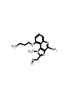 Cn1c(CN=O)nc2c(N)nc3cccc(OCCCN)c3c21